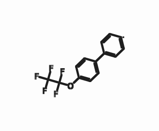 FC(F)(F)C(F)(F)Oc1ccc(-c2cc[c]cc2)cc1